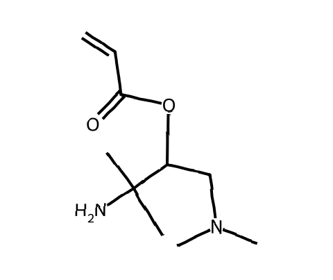 C=CC(=O)OC(CN(C)C)C(C)(C)N